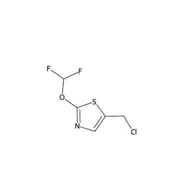 FC(F)Oc1ncc(CCl)s1